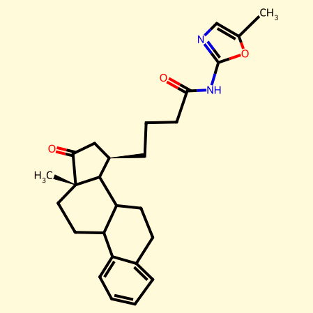 Cc1cnc(NC(=O)CCC[C@@H]2CC(=O)[C@@]3(C)CCC4c5ccccc5CCC4C23)o1